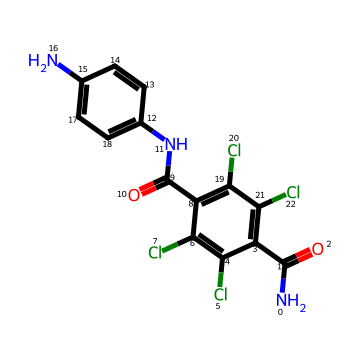 NC(=O)c1c(Cl)c(Cl)c(C(=O)Nc2ccc(N)cc2)c(Cl)c1Cl